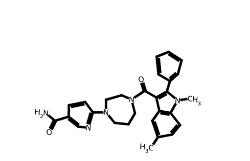 Cc1ccc2c(c1)c(C(=O)N1CCCN(c3ccc(C(N)=O)cn3)CC1)c(-c1ccccc1)n2C